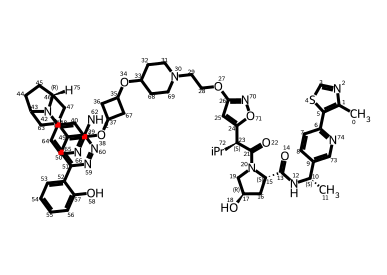 Cc1ncsc1-c1ccc([C@H](C)NC(=O)[C@@H]2C[C@@H](O)CN2C(=O)[C@H](c2cc(OCCN3CCC(OC4CC(Oc5cc(N6C7CC[C@@H]6CN(c6cc(-c8ccccc8O)nnc6N)C7)ccn5)C4)CC3)no2)C(C)C)cn1